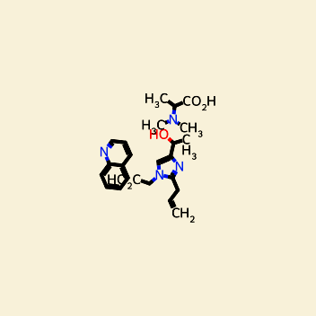 C=CCc1nc(C(C)O)cn1CC(=O)O.CC(C(=O)O)N(C)C.c1ccc2ncccc2c1